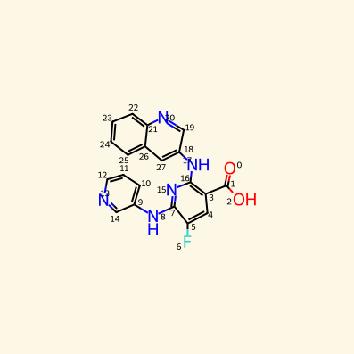 O=C(O)c1cc(F)c(Nc2cccnc2)nc1Nc1cnc2ccccc2c1